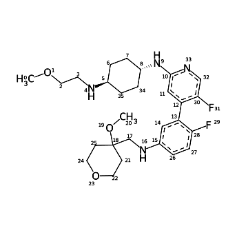 COCCN[C@H]1CC[C@H](Nc2cc(-c3cc(NCC4(OC)CCOCC4)ccc3F)c(F)cn2)CC1